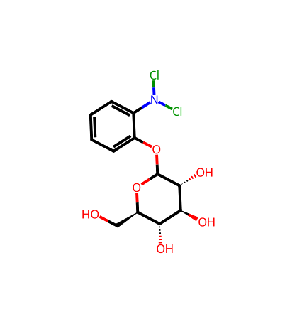 OC[C@H]1OC(Oc2ccccc2N(Cl)Cl)[C@H](O)[C@@H](O)[C@@H]1O